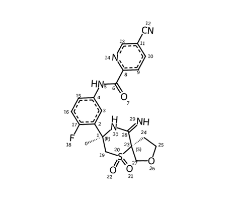 C[C@@]1(c2cc(NC(=O)c3ccc(C#N)cn3)ccc2F)CS(=O)(=O)[C@@]2(CCOC2)C(=N)N1